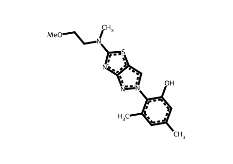 COCCN(C)c1nc2nn(-c3c(C)cc(C)cc3O)cc2s1